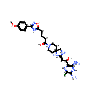 COc1ccc(-c2noc(CCCC(=O)N3CCC4(CC3)CN/C(=C\C(=O)c3nc(Cl)c(N)nc3N)N4)n2)cc1